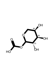 O=C(O)OC1OC[C@@H](O)[C@@H](O)[C@@H]1O